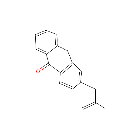 C=C(C)Cc1ccc2c(c1)Cc1ccccc1C2=O